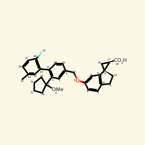 COC1(c2cc(COc3ccc4c(c3)[C@]3(CC4)C[C@H]3C(=O)O)ccc2-c2cc(C)ccc2F)CCCC1